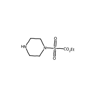 CCOC(=O)S(=O)(=O)N1CCNCC1